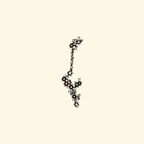 O=C1CCC(N2C(=O)c3cccc(NCCOCCOCCOCCOCCN4CCC(COc5cccc(-c6ccc(Cl)cc6)c5CN5CCN(c6ccc(C(=O)NS(=O)(=O)c7ccc(NCC8CCOCC8)c([N+](=O)[O-])c7)c(Oc7cnc8[nH]ccc8c7)c6)CC5)CC4)c3C2=O)C(=O)N1